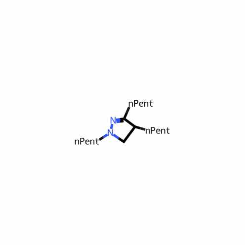 CCCCCC1=NN(CCCCC)CC1CCCCC